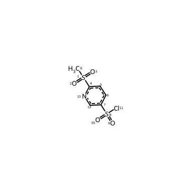 CS(=O)(=O)c1ccc(S(=O)(=O)Cl)cn1